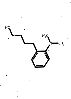 CN(C)c1ccccc1CCCCO